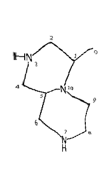 CC1CNCC2CNCCN12